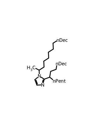 CCCCCCCCCCCCCCCCC(C)n1ccnc1C(CCCCC)CCCCCCCCCCCC